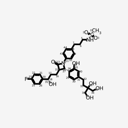 CS(=O)(=O)NCCCc1ccc(N2C(=O)C(CC[C@H](O)c3ccc(F)cc3)[C@H]2c2ccc(CCC(O)(CO)CO)cc2O)cc1